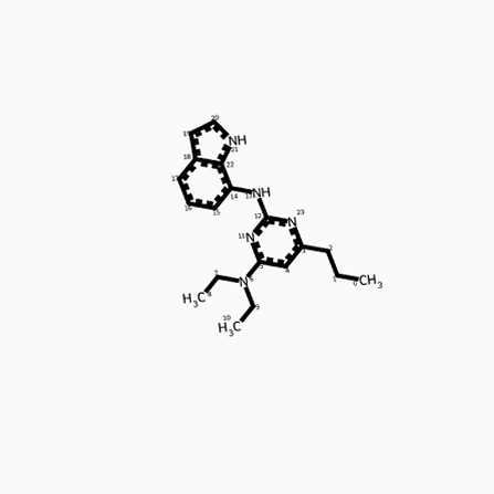 CCCc1cc(N(CC)CC)nc(Nc2cccc3cc[nH]c23)n1